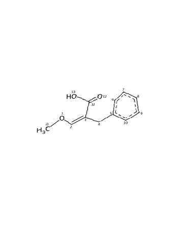 COC=C(Cc1ccccc1)C(=O)O